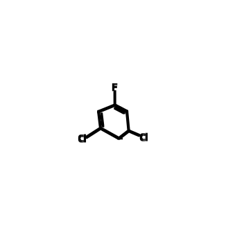 FC1=CC(Cl)[CH]C(Cl)=C1